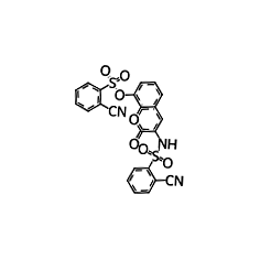 N#Cc1ccccc1S(=O)(=O)Nc1cc2cccc(OS(=O)(=O)c3ccccc3C#N)c2oc1=O